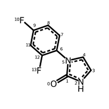 O=c1[nH]ccn1-c1ccc(F)cc1F